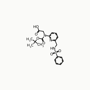 CC(C)(C)OC(=O)N(CC(=O)O)c1cccc(CNS(=O)(=O)c2ccccc2)n1